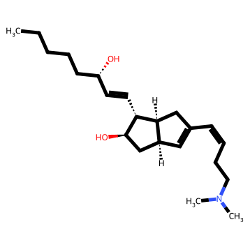 CCCCC[C@H](O)/C=C/[C@@H]1[C@H]2CC(/C=C\CCN(C)C)=C[C@H]2C[C@H]1O